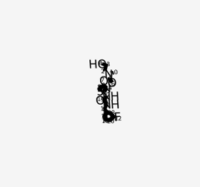 CN(CCO)C(=O)Oc1csc(NC(=O)NCc2cccc(F)c2)n1